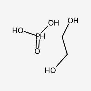 O=[PH](O)O.OCCO